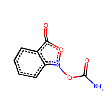 NC(=O)On1oc(=O)c2ccccc21